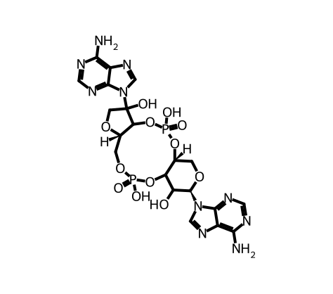 Nc1ncnc2c1ncn2[C@@H]1OC[C@H]2OP(=O)(O)OC3[C@H](COP(=O)(O)OC2C1O)OCC3(O)n1cnc2c(N)ncnc21